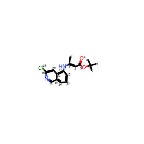 CC(=CC(=O)OC(C)(C)C)Nc1cccc2cnc(Cl)cc12